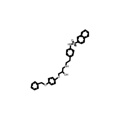 O=S(=O)(Nc1ccc(CCNCC(O)COc2ccc(OCc3ccccc3)cc2)cc1)c1ccc2ccccc2c1